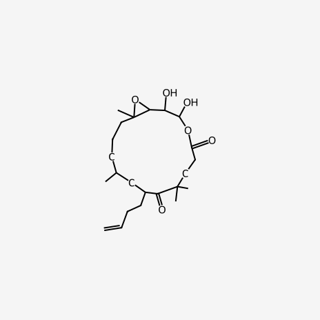 C=CCCC1CC(C)CCCC2(C)OC2C(O)C(O)OC(=O)CCC(C)(C)C1=O